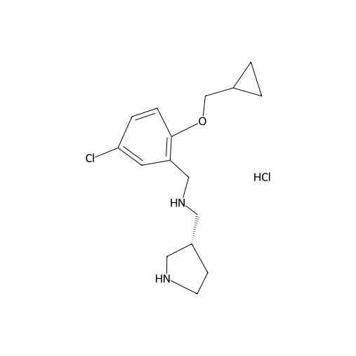 Cl.Clc1ccc(OCC2CC2)c(CNC[C@@H]2CCNC2)c1